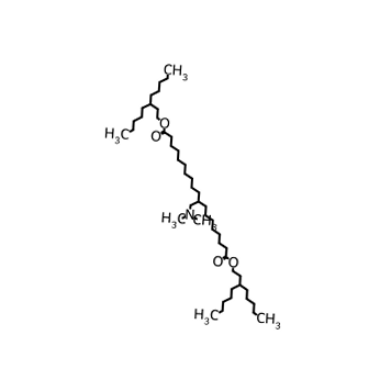 CCCCCC(CCCCC)CCOC(=O)CCCCCCCCCC(CCCCCCCC(=O)OCCC(CCCCC)CCCCC)CN(C)C